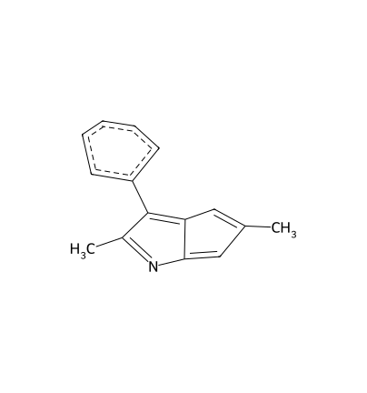 CC1=CC2=C(c3ccccc3)C(C)=NC2=C1